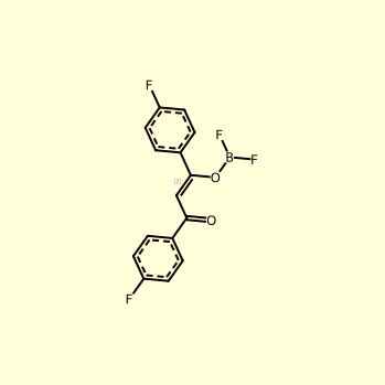 O=C(/C=C(\OB(F)F)c1ccc(F)cc1)c1ccc(F)cc1